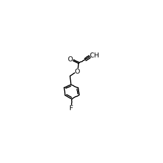 C#CC(=O)OCc1ccc(F)cc1